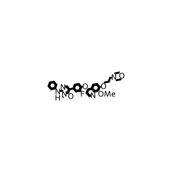 COc1c(OCCCN2CCOCC2)ccc2c(Oc3ccc(-c4cnc(Nc5ccccc5)n(C)c4=O)cc3F)ccnc12